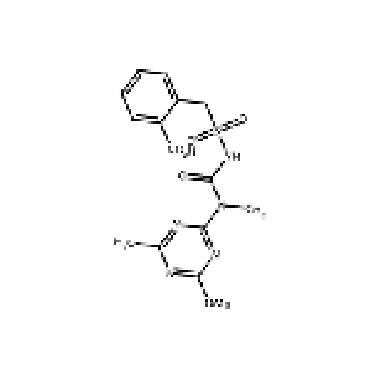 COc1nc(C)nc(N(C)C(=O)NS(=O)(=O)Cc2ccccc2C(=O)O)n1